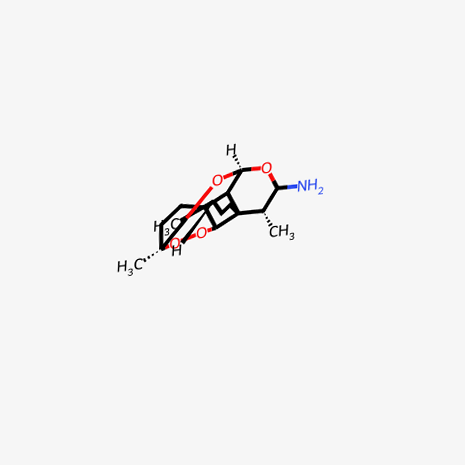 C[C@@H]1CCC23C4OO[C@@]5(C)CCC41C2[C@H](OC(N)[C@@H]3C)O5